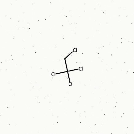 [O]C(Cl)(Cl)CCl